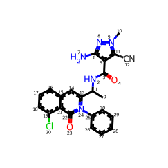 CC(NC(=O)c1c(N)nn(C)c1C#N)c1cc2cccc(Cl)c2c(=O)n1-c1ccccc1